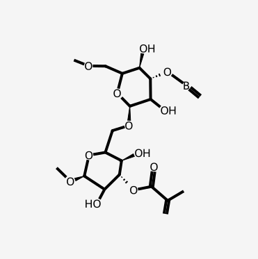 C=BO[C@@H]1C(O)[C@@H](OCC2O[C@H](OC)C(O)[C@@H](OC(=O)C(=C)C)[C@@H]2O)OC(COC)[C@H]1O